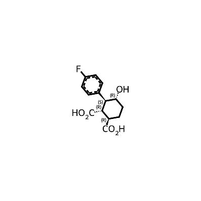 O=C(O)[C@@H]1[C@@H](c2ccc(F)cc2)[C@H](O)CC[C@H]1C(=O)O